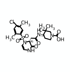 Cc1cc(S(=O)(=O)N2C=CNC(=O)[C@H]2CC(=O)N[C@H]2CCN(C(=O)O)CC2(C)C)c(C)cc1Cl